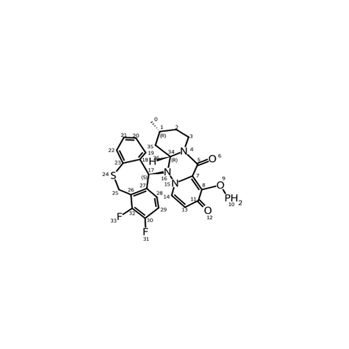 C[C@@H]1CCN2C(=O)c3c(OP)c(=O)ccn3N([C@@H]3c4ccccc4SCc4c3ccc(F)c4F)[C@@H]2C1